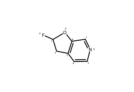 FC1Cc2ccncc2O1